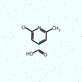 Cc1cccc(Cl)n1.O=CO